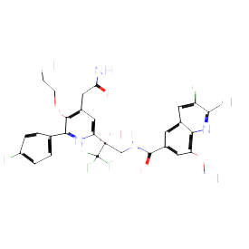 CCCOc1c(CC(N)=O)cc([C@@](O)(CNC(=O)c2cc(OC)c3nc(C)c(Cl)cc3c2)C(F)(F)F)nc1-c1ccc(F)cc1